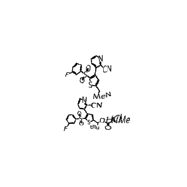 CNC(=O)OC(c1cc(-c2cccnc2C#N)c(S(=O)(=O)c2cccc(F)c2)s1)C(C)(C)C.CNCc1cc(-c2cccnc2C#N)c(S(=O)(=O)c2cccc(F)c2)s1.Cl